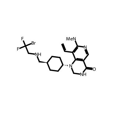 C=Cc1c(NC)ncc2c1N([C@H]1CC[C@H](CNCC(F)(F)Br)CC1)CNC2=O